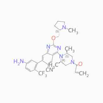 C=CC(=O)N1C[C@@H](C)N(c2nc(OC[C@@H]3CCCN3C)nc3cc(-c4cc(N)ccc4C(F)(F)F)c(C#N)cc23)[C@@H](C)C1